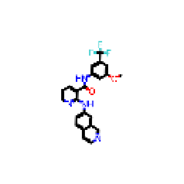 COc1cc(NC(=O)c2cccnc2Nc2ccc3ccncc3c2)cc(C(F)(F)F)c1